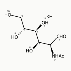 CC(=O)N[C@H](C=O)[C@@H](O)[C@H](O)[C@H](O)CO.[KH]